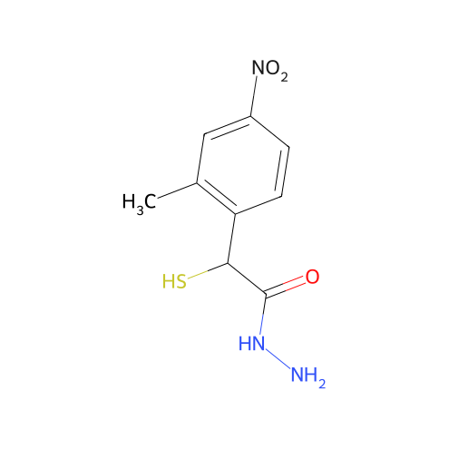 Cc1cc([N+](=O)[O-])ccc1C(S)C(=O)NN